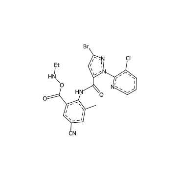 CCNOC(=O)c1cc(C#N)cc(C)c1NC(=O)c1cc(Br)nn1-c1ncccc1Cl